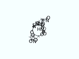 CCO[C@@H]1c2nc(cs2)-c2ccc3c(c2)c(c(-c2cccnc2[C@H](C)OC)n3CC)CC(C)(C)COC(=O)[C@@H]2CCCN(N2)C(=O)[C@H]1NC(=O)[C@H]1[C@H](C)[C@@H]1c1cocn1